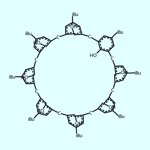 CCC(C)c1cc2c(O)c(c1)Cc1cc(C(C)CC)cc(c1O)Cc1cc(C(C)CC)cc(c1O)Cc1cc(C(C)CC)cc(c1O)Cc1cc(C(C)CC)cc(c1O)Cc1cc(C(C)CC)cc(c1O)Cc1cc(C(C)CC)cc(c1O)Cc1cc(C(C)CC)cc(c1O)C2